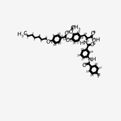 CCCCCCCOc1ccc(C(=O)Oc2ccc(CC(NC(=O)c3cccc(NC(=O)c4ccc(F)cc4)c3)C(=O)O)cc2OC)cc1